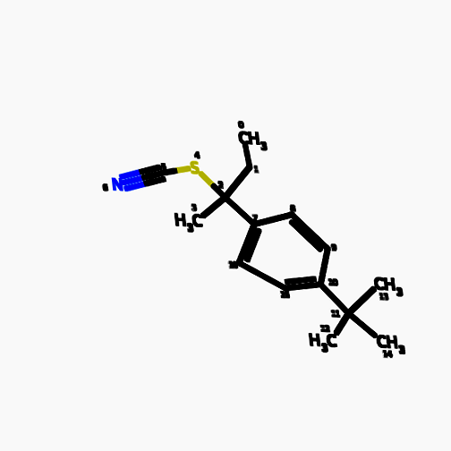 CCC(C)(SC#N)c1ccc(C(C)(C)C)cc1